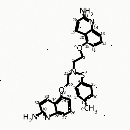 Cc1ccc(SN(CCOc2cccc3nc(N)ccc23)CCOc2cccc3nc(N)ccc23)cc1